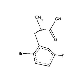 CN(Cc1cc(F)ccc1Br)C(=O)O